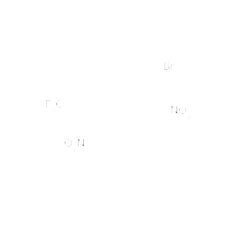 FC(F)(F)c1ccc(Br)cc1.O=[N+]([O-])c1cccc([N+](=O)[O-])c1